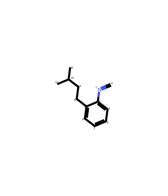 C=Nc1ccccc1CCC(C)C